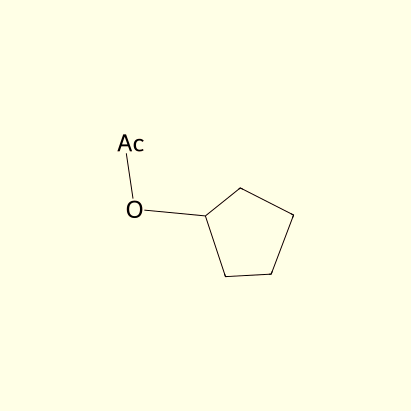 CC(=O)OC1CCCC1